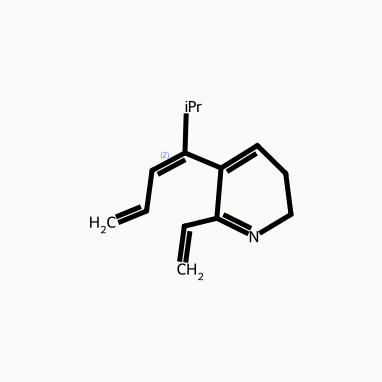 C=C/C=C(\C1=CCCN=C1C=C)C(C)C